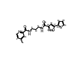 Cc1ccnc(C(=O)NCCCNC(=O)c2cc(-c3cccs3)on2)c1